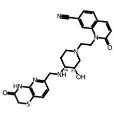 N#Cc1ccc2ccc(=O)n(CCN3CC[C@H](NCc4ccc5c(n4)NC(=O)CS5)[C@H](O)C3)c2c1